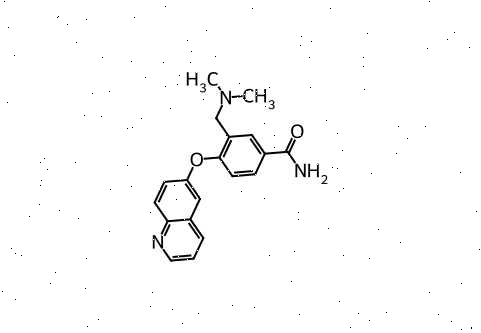 CN(C)Cc1cc(C(N)=O)ccc1Oc1ccc2ncccc2c1